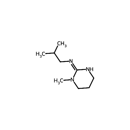 CC(C)C/N=C1/NCCCN1C